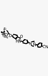 CC(C)(C)[Si](C)(C)OC(CF)COc1ccc(C(=O)Nc2ccc(N3CCN(c4ccc(C#N)cc4)CC3)cc2)cc1